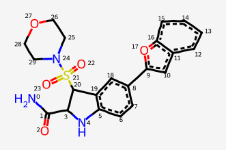 NC(=O)C1Nc2ccc(-c3cc4ccccc4o3)cc2C1S(=O)(=O)N1CCOCC1